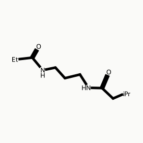 CCC(=O)NCCCNC(=O)CC(C)C